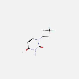 O=c1ccn(C2CC(F)(F)C2)c(=O)[nH]1